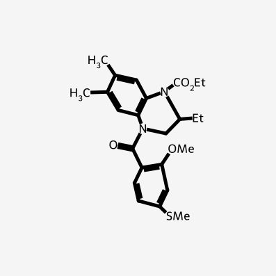 CCOC(=O)N1c2cc(C)c(C)cc2N(C(=O)c2ccc(SC)cc2OC)CC1CC